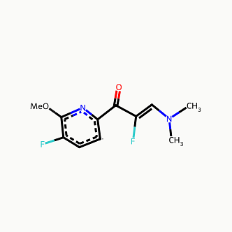 COc1nc(C(=O)C(F)=CN(C)C)[c]cc1F